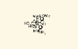 COc1cc(F)c(C(Nc2ccc(C(=N)N)cc2)c2nn(-c3nc[nH]c3C(=O)O)c(=O)[nH]2)cc1OC